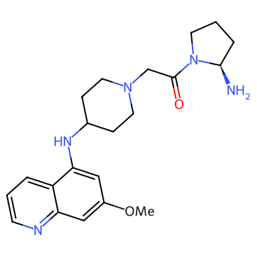 COc1cc(NC2CCN(CC(=O)N3CCC[C@H]3N)CC2)c2cccnc2c1